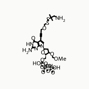 COCOC1C[C@H](n2cc(C#CCOCSSC(C)(C)CN)c3c(=O)[nH]c(N)nc32)O[C@@H]1COP(=O)(O)OP(=O)(O)OP(=O)(O)O